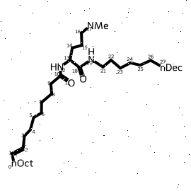 CCCCCCCC/C=C/CCCCCCCC(=O)NC(CCCNC)C(=O)NCCCCCCCCCCCCCCCC